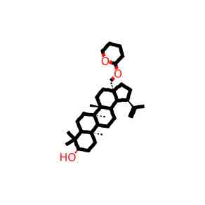 C=C(C)[C@@H]1CC[C@]2(COC3CCCCO3)CC[C@]3(C)C(CCC4[C@@]5(C)CC[C@H](O)C(C)(C)C5CC[C@]43C)C12